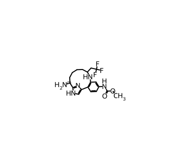 COC(=O)Nc1ccc2c(c1)NC(CC(F)(F)F)CCCC[C@H](N)c1nc-2c[nH]1